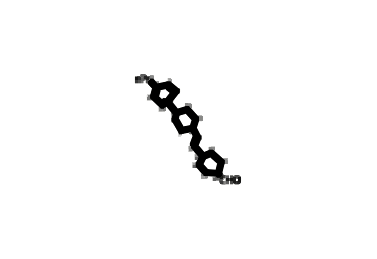 CCCc1ccc(C2CCC(C=CC3CCC(C=O)CC3)CC2)cc1